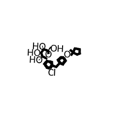 CC1(COc2ccc(Cc3cc([C@@H]4O[C@H](CO)[C@@H](O)[C@H](O)[C@H]4O)ccc3Cl)cc2)CCCC1